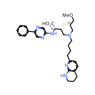 COC[C@@H](F)CN(CCCCc1ccc2c(n1)NCCC2)CC[C@H](Nc1cnc(-c2ccccc2)cn1)C(=O)O